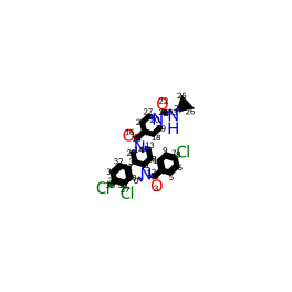 CN(C(=O)c1ccc(Cl)cc1)[C@@H]1CCN(C(=O)C2CCN(C(=O)NC3CC3)CC2)C[C@H]1c1ccc(Cl)c(Cl)c1